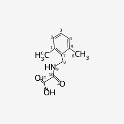 Cc1cccc(C)c1CNC(=O)C(=O)O